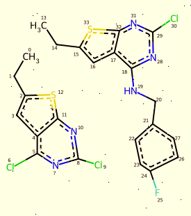 CCc1cc2c(Cl)nc(Cl)nc2s1.CCc1cc2c(NCc3ccc(F)cc3)nc(Cl)nc2s1